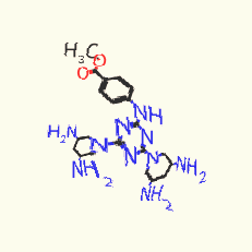 COC(=O)c1ccc(Nc2nc(N3C[C@H](N)C[C@H](N)C3)nc(N3C[C@H](N)C[C@H](N)C3)n2)cc1